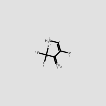 C=C(/C(Br)=C\N)C(F)(F)F